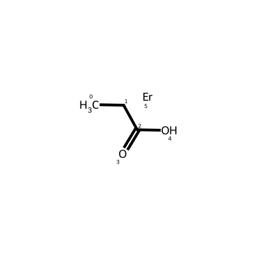 CCC(=O)O.[Er]